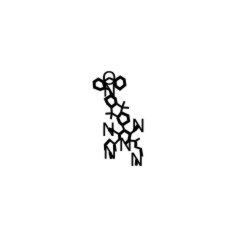 C=N/C=C\C=C(/C)c1nc(C(/C=C\C)=C/N=C)c(C#N)c(-c2ccc3c(c2)C(C)(C)c2ccc(N4c5ccccc5Oc5ccccc54)cc2C3(C)C)c1C#N